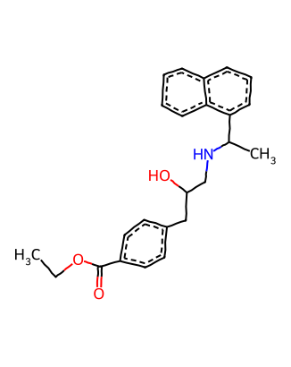 CCOC(=O)c1ccc(CC(O)CNC(C)c2cccc3ccccc23)cc1